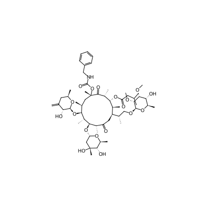 C=C1C[C@@H](C)O[C@@H](O[C@@H]2[C@@H](C)[C@H](O[C@H]3C[C@@](C)(O)[C@@H](O)[C@H](C)O3)[C@@H](C)C(=O)C[C@H]([C@@H](C)CO[C@@H]3O[C@H](C)[C@@H](O)[C@@H](OC)[C@H]3OC)[C@H](C)[C@@H](OC(=O)CC(C)C)[C@@H](C)C(=O)[C@@](C)(OC(=O)NCc3ccccc3)C[C@@H]2C)[C@@H]1O